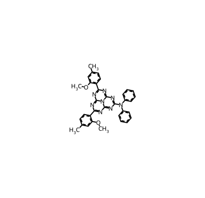 COc1cc(C)ccc1C1=NC2=NC(c3ccc(C)cc3OC)=NC3=NC(N(c4ccccc4)c4ccccc4)=NC(=N1)N23